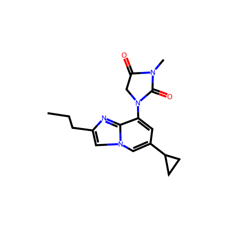 CCCc1cn2cc(C3CC3)cc(N3CC(=O)N(C)C3=O)c2n1